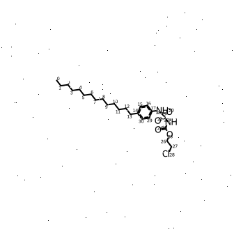 CCCCCCCCCCCCCCc1ccc(NS(=O)(=O)NC(=O)OCCCl)cc1